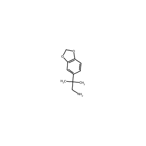 CC(C)(CN)c1ccc2c(c1)OCO2